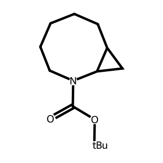 CC(C)(C)OC(=O)N1CCCCCC2CC21